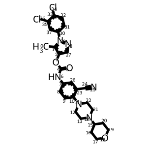 Cc1c(OC(=O)Nc2ccc(N3CCN(C4CCOCC4)CC3)c(C#N)c2)cnn1-c1ccc(Cl)c(Cl)c1